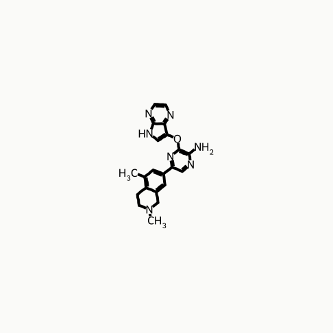 Cc1cc(-c2cnc(N)c(Oc3c[nH]c4nccnc34)n2)cc2c1CCN(C)C2